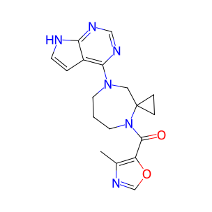 Cc1ncoc1C(=O)N1CCCN(c2ncnc3[nH]ccc23)CC12CC2